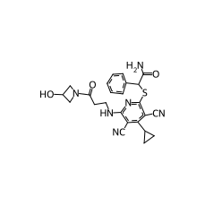 N#Cc1c(NCCC(=O)N2CC(O)C2)nc(SC(C(N)=O)c2ccccc2)c(C#N)c1C1CC1